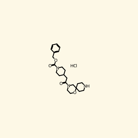 Cl.O=C(CC1CCN(C(=O)OCc2ccccc2)CC1)N1CCOC2(CCNCC2)C1